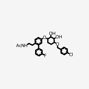 CC(=O)NCCc1ccc(OC2CCC(OCc3ccc(Cl)cc3)C(O)C2O)cc1-c1cccc(F)c1